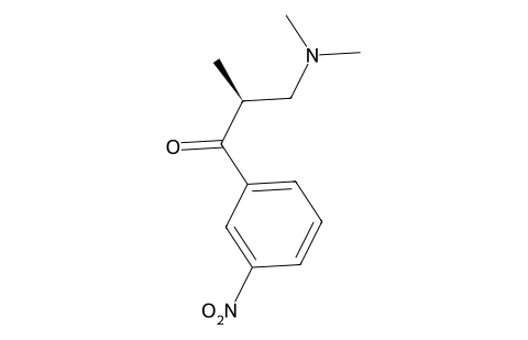 C[C@@H](CN(C)C)C(=O)c1cccc([N+](=O)[O-])c1